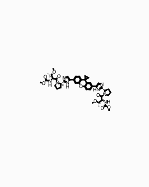 COC(=O)N[C@H](C(=O)N1CCC[C@H]1c1ncc(-c2ccc3c(c2)Oc2ccc(-c4cnc([C@@H]5CCCN5C(=O)[C@@H](NC(=O)OC)[C@H](C)OC)[nH]4)cc2C32CC2)[nH]1)[C@H](C)OC